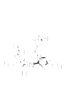 CC(C)(C)OC=O.Cc1cn(CC2CNC2)c(=N)s1